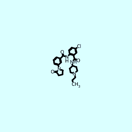 CCCN1CCC(NC(=O)c2cc(Cl)ccc2NC(=O)c2cccc(N3CCCC3=O)c2)CC1